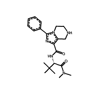 CN(C)C(=O)[C@@H](NC(=O)c1nc(-c2ccccc2)n2c1CNCC2)C(C)(C)C